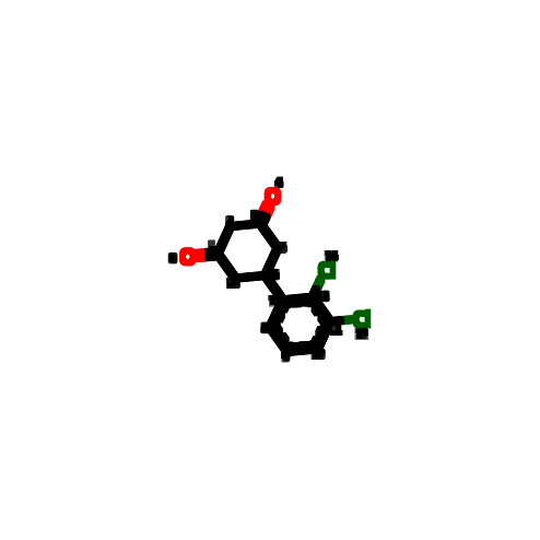 O=C1CC(=O)CC(c2cccc(Cl)c2Cl)C1